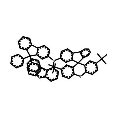 CC(C)(C)c1ccc2c(c1)C1(c3cc(C(C)(C)C)ccc3S2)c2ccccc2-c2ccc(N(c3ccc4c(c3)C(c3ccccc3)(c3ccccc3)c3ccccc3-4)c3cccc4sc5ccccc5c34)cc21